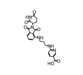 O=C1CCC(N2C(=O)c3cccc(NCCCNc4ccc(C(=O)O)cn4)c3C2=O)C(=O)N1